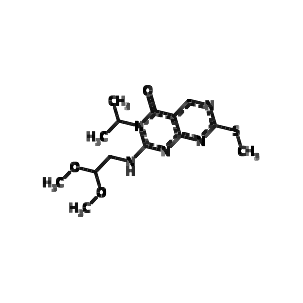 COC(CNc1nc2nc(SC)ncc2c(=O)n1C(C)C)OC